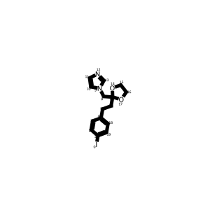 Ic1ccc(CCC2(Cn3ccnc3)OCCO2)cc1